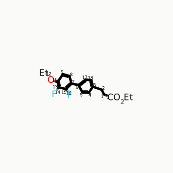 CCOC(=O)CCc1ccc(-c2ccc(OCC)c(F)c2F)cc1